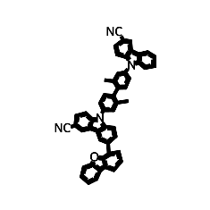 Cc1cc(-n2c3ccccc3c3cc(C#N)ccc32)ccc1-c1ccc(-n2c3ccc(C#N)cc3c3cc(-c4cccc5c4oc4ccccc45)ccc32)cc1C